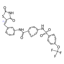 O=C1NC(=O)/C(=C\c2cccc(NC(=O)c3ccc(NS(=O)(=O)c4ccc(OC(F)(F)F)cc4)cc3)c2)S1